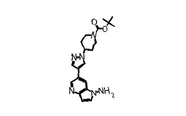 CC(C)(C)OC(=O)N1CCC(n2cc(-c3cnc4ccn(N)c4c3)cn2)CC1